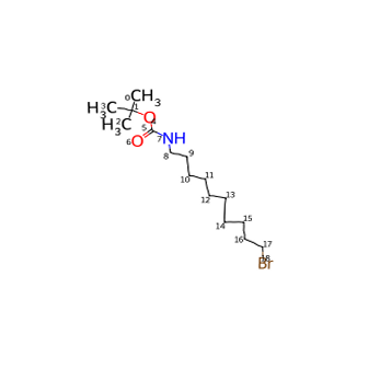 CC(C)(C)OC(=O)NCCCCCCCCCCBr